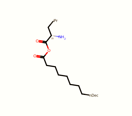 CCCCCCCCCCCCCCCCCC(=O)OC(=O)[C@@H](N)CC(C)C